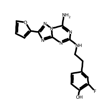 Nc1nc(NCCc2ccc(O)c(F)c2)nc2nc(-c3ccco3)nn12